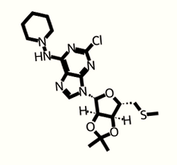 CSC[C@H]1O[C@@H](n2cnc3c(NN4CCCCC4)nc(Cl)nc32)[C@@H]2OC(C)(C)O[C@@H]21